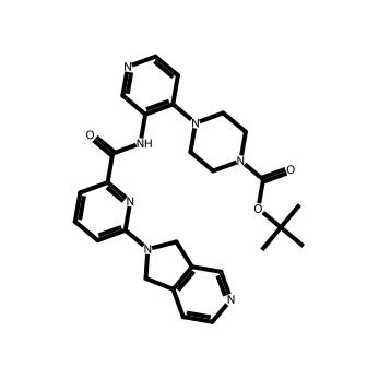 CC(C)(C)OC(=O)N1CCN(c2ccncc2NC(=O)c2cccc(N3Cc4ccncc4C3)n2)CC1